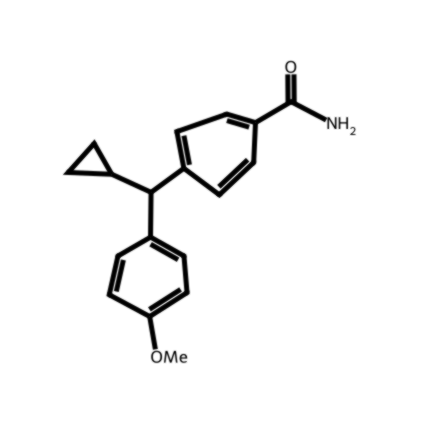 COc1ccc(C(c2ccc(C(N)=O)cc2)C2CC2)cc1